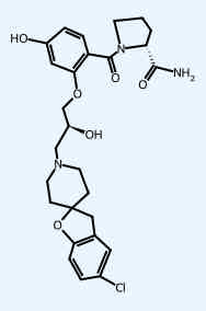 NC(=O)[C@H]1CCCN1C(=O)c1ccc(O)cc1OC[C@@H](O)CN1CCC2(CC1)Cc1cc(Cl)ccc1O2